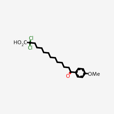 COc1ccc(C(=O)CCCCCCCCCCCC(Cl)(Cl)C(=O)O)cc1